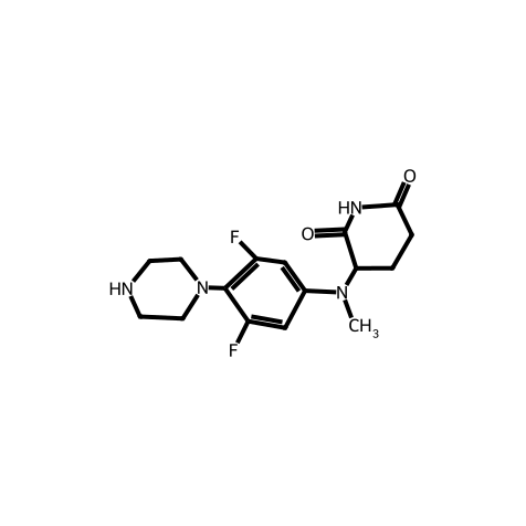 CN(c1cc(F)c(N2CCNCC2)c(F)c1)C1CCC(=O)NC1=O